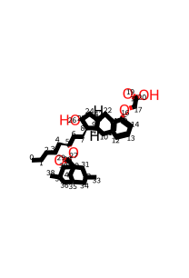 CCCCC[C@@H](CC[C@@H]1[C@H]2Cc3cccc(OCC(=O)O)c3C[C@H]2C[C@H]1O)OC(=O)C12CC(C)CC(CC(C)C1)C2